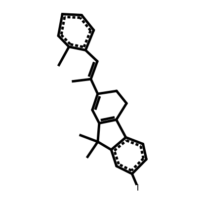 C/C(=C\c1ccccc1C)C1=CC2=C(CC1)c1ccc(I)cc1C2(C)C